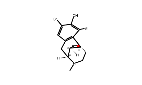 CN1CC[C@@]23CCCC[C@@H]2[C@@H]1Cc1cc(Br)c(O)c(Br)c13